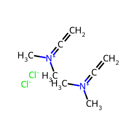 C=C=[N+](C)C.C=C=[N+](C)C.[Cl-].[Cl-]